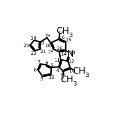 CC1=C(C)C(c2ccccc2)=C2C1=Nc1cc(C)c(CC3=CC=CC3)cc12